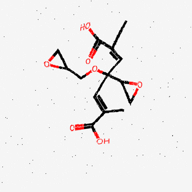 CC(=CC(C=C(C)C(=O)O)(OCC1CO1)C1CO1)C(=O)O